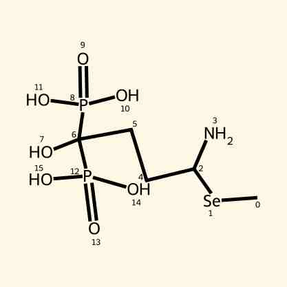 C[Se]C(N)CCC(O)(P(=O)(O)O)P(=O)(O)O